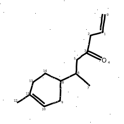 C=CCC(=O)CC(C)C1CC=C(C)CC1